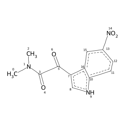 CN(C)C(=O)C(=O)c1c[nH]c2ccc([N+](=O)[O-])cc12